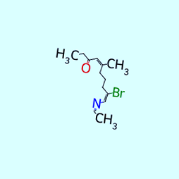 C/C=N\C=C(\Br)CCC/C(C)=C\C(=O)CC